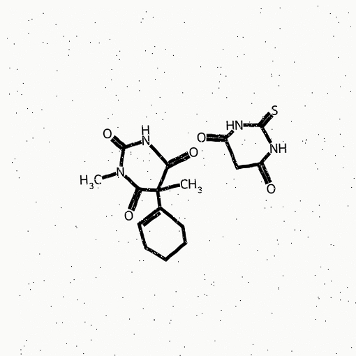 CN1C(=O)NC(=O)C(C)(C2=CCCCC2)C1=O.O=C1CC(=O)NC(=S)N1